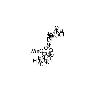 COc1cccc(Nc2c(C(N)=O)cnc3c(C)cc(S(=O)(=O)c4cccc(C(=O)N5CCC(NC[C@H](O[Si](C)(C)C(C)(C)C)c6ccc(O)c7[nH]c(=O)ccc67)CC5)c4)cc23)c1